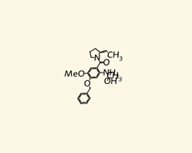 C/C=C1/CCCN1C(=O)c1cc(OC)c(OCc2ccccc2)cc1N.CO